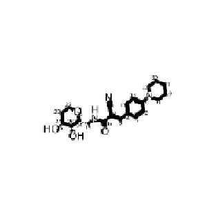 N#C/C(=C\c1ccc(N2CCCCC2)cc1)C(=O)NC[C@H]1OCC[C@@H](O)[C@@H]1O